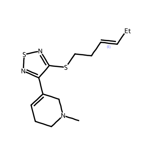 CC/C=C/CCSc1nsnc1C1=CCCN(C)C1